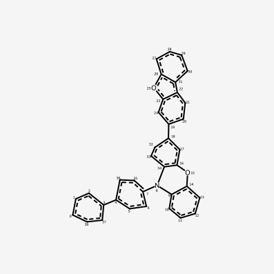 c1ccc(-c2ccc(N3c4ccccc4Oc4cc(-c5ccc6c(c5)oc5ccccc56)ccc43)cc2)cc1